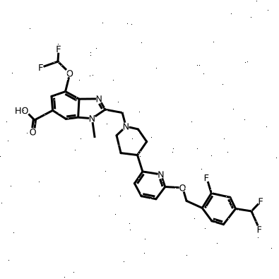 Cn1c(CN2CCC(c3cccc(OCc4ccc(C(F)F)cc4F)n3)CC2)nc2c(OC(F)F)cc(C(=O)O)cc21